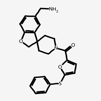 NCc1ccc2c(c1)C1(CCN(C(=O)c3ccc(Sc4ccccc4)o3)CC1)CO2